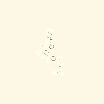 Cc1c(NC(=O)c2ccc(C(C)(C)C)cc2)cccc1-c1cn(C)c(=O)c(Nc2ccc(C(=O)N3CCN(CC(=O)OC(C)(C)C)CC3)cc2)n1